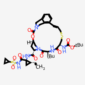 C=C[C@@H]1C[C@]1(NC(=O)[C@@H]1C[C@@H]2CN1C(=O)[C@H](C(C)(C)C)NC(=O)[C@@H](NC(=O)OC(C)(C)C)CSC/C=C/c1cccc3c1CN(C3)C(=O)O2)C(=O)NS(=O)(=O)C1CC1